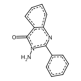 Nn1c(-c2ccccc2)nc2ccccc2c1=O